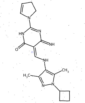 Cc1nn(C2CCC2)c(C)c1N/C=C1\C(=N)N=C(N2C=CCC2)NC1=O